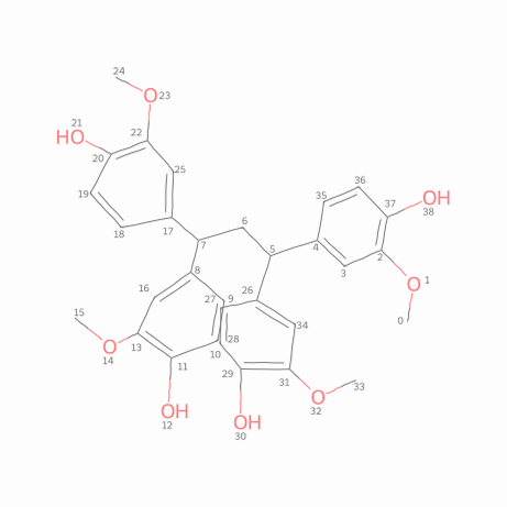 COc1cc(C(CC(c2ccc(O)c(OC)c2)c2ccc(O)c(OC)c2)c2ccc(O)c(OC)c2)ccc1O